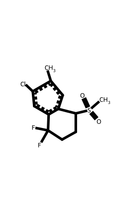 Cc1cc2c(cc1Cl)C(F)(F)CCC2S(C)(=O)=O